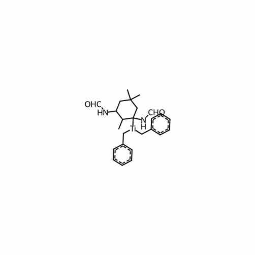 CC1C(NC=O)CC(C)(C)C[C]1(NC=O)[Ti]([CH2]c1ccccc1)[CH2]c1ccccc1